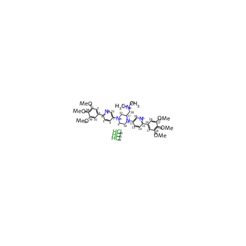 COc1cc(-c2ccc(N3CCN(c4ccc(-c5cc(OC)c(OC)c(OC)c5)nc4)C(CN(C)C)C3)cn2)cc(OC)c1OC.Cl.Cl.Cl